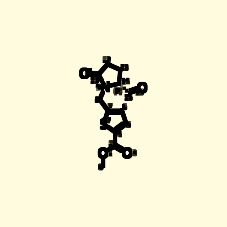 COC(=O)c1ccc(CN2C(=O)CC[C@@H]2C=O)s1